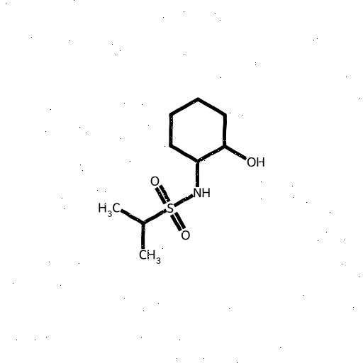 CC(C)S(=O)(=O)NC1CCCCC1O